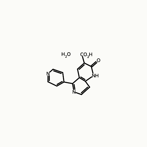 O.O=C(O)c1cc2c(-c3ccncc3)nccc2[nH]c1=O